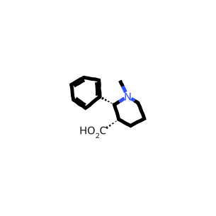 CN1CCC[C@H](C(=O)O)[C@@H]1c1ccccc1